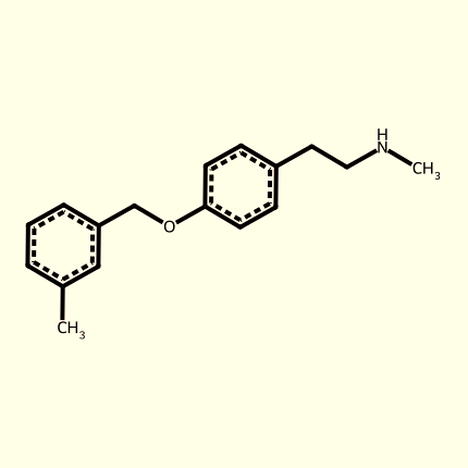 CNCCc1ccc(OCc2cccc(C)c2)cc1